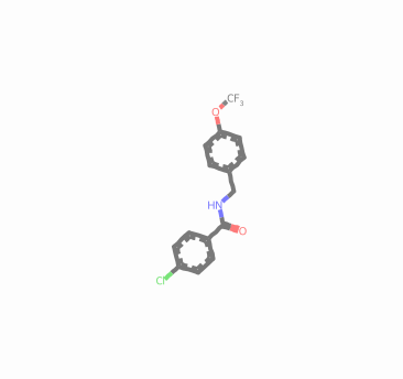 O=C(NCc1ccc(OC(F)(F)F)cc1)c1ccc(Cl)cc1